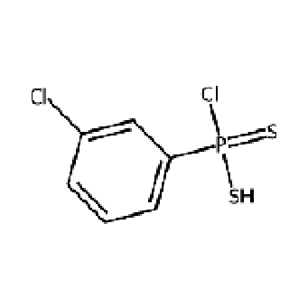 S=P(S)(Cl)c1cccc(Cl)c1